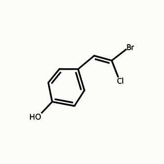 Oc1ccc(/C=C(\Cl)Br)cc1